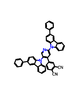 N#Cc1ccc(-c2cc(-n3c4ccccc4c4cc(-c5ccccc5)ccc43)ncc2-n2c3ccccc3c3cc(-c4ccccc4)ccc32)cc1C#N